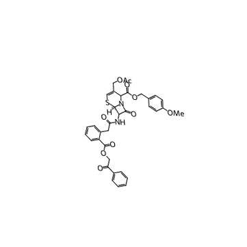 COc1ccc(COC(=O)C2C(COC(C)=O)=CS[C@@H]3C(NC(=O)Cc4ccccc4C(=O)OCC(=O)c4ccccc4)C(=O)N23)cc1